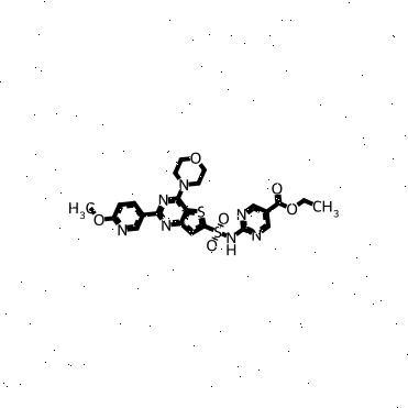 CCOC(=O)c1cnc(NS(=O)(=O)c2cc3nc(-c4ccc(OC)nc4)nc(N4CCOCC4)c3s2)nc1